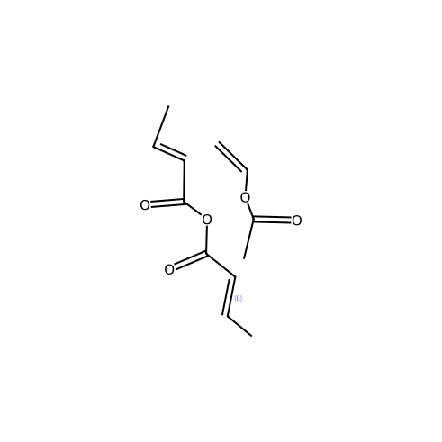 C=COC(C)=O.CC=CC(=O)OC(=O)/C=C/C